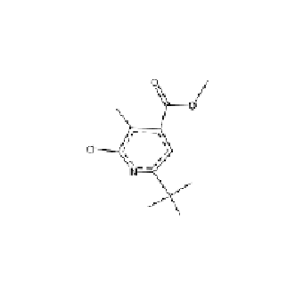 COC(=O)c1cc(C(C)(C)C)nc(Cl)c1C